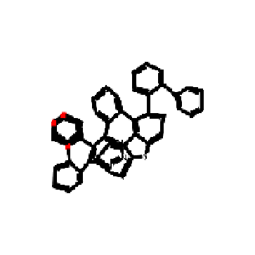 c1ccc(-c2ccccc2-c2ccc3sc4ccccc4c3c2-c2ccccc2-c2nnnc(-c3ccccc3-c3ccccc3)c2-c2ccccc2)cc1